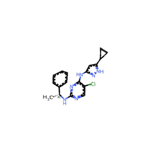 C[C@@H](Nc1ncc(Cl)c(Nc2cc(C3CC3)[nH]n2)n1)c1ccccc1